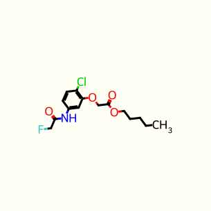 CCCCCOC(=O)COc1cc(NC(=O)CF)ccc1Cl